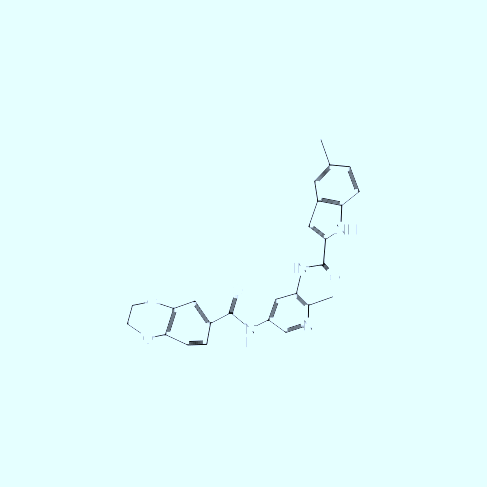 Cc1ccc2[nH]c(C(=O)Nc3cc(NC(=O)c4ccc5c(c4)OCCO5)cnc3C)cc2c1